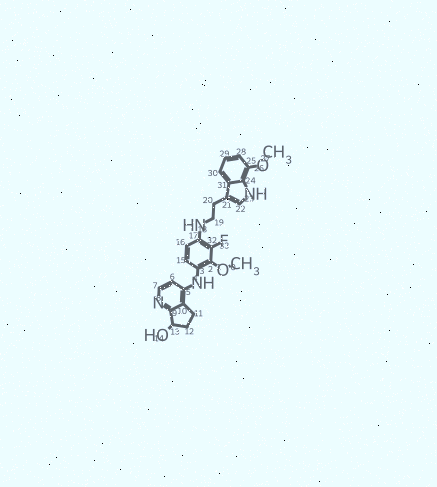 COc1c(Nc2ccnc3c2CCC3O)ccc(NCCc2c[nH]c3c(OC)cccc23)c1F